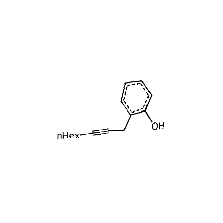 CCCCCCC#CCc1ccccc1O